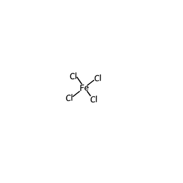 [Cl][Fe]([Cl])([Cl])[Cl]